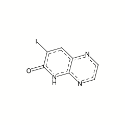 O=c1[nH]c2nccnc2cc1I